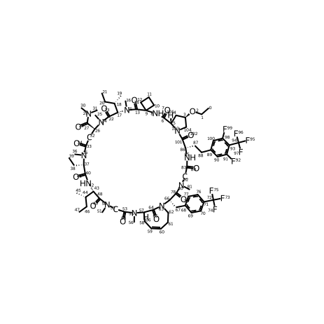 CCO[C@@H]1C[C@H]2C(=O)NC3(CCC3)C(=O)N(C)[C@@H]([C@@H](C)CC)C(=O)N(C)[C@H](C(=O)N(C)C)CC(=O)N(C)[C@@H](CC)C(=O)N[C@@H]([C@@H](C)CC)C(=O)N(C)CC(=O)N(C)[C@H]3C/C=C\CCN(C3=O)[C@@H](Cc3ccc(C(F)(F)F)cc3)C(=O)N(C)CC(=O)N[C@@H](CCc3cc(F)c(C(F)(F)F)c(F)c3)C(=O)N2C1